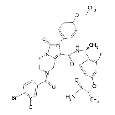 C[C@H](NC(=O)c1c2n(c(=O)n1-c1ccc(OCC(F)(F)F)cc1)CCN(C(=O)c1ccc(Br)c(Cl)c1)C2)c1ccc(O[C@H](C)C(N)=O)cc1F